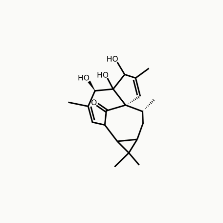 CC1=C[C@]23C(=O)C(C=C(C)[C@@H](O)C2(O)C1O)C1C(C[C@H]3C)C1(C)C